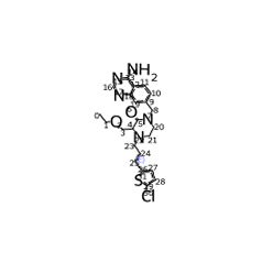 CCOCC1C(=O)N(Cc2ccc3c(N)ncnc3c2)CCN1C/C=C/c1ccc(Cl)s1